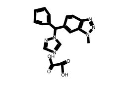 Cn1nnc2ccc(C(c3ccccc3)n3cncn3)cc21.O=C(O)C(=O)O